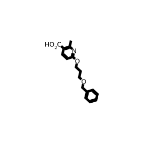 Cc1nc(OCCCOCc2ccccc2)ccc1C(=O)O